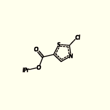 CC(C)OC(=O)c1cnc(Cl)s1